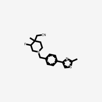 Cc1nc(-c2ccc(CN3CCC(C)(CC#N)C(F)C3)cc2)cs1